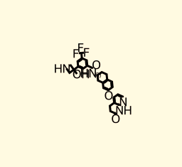 O=C1CCc2c(Oc3ccc4c(c3)C[C@H](NC(=O)c3cc(C(F)(F)F)cc(C5(O)CNC5)c3)CC4)ccnc2N1